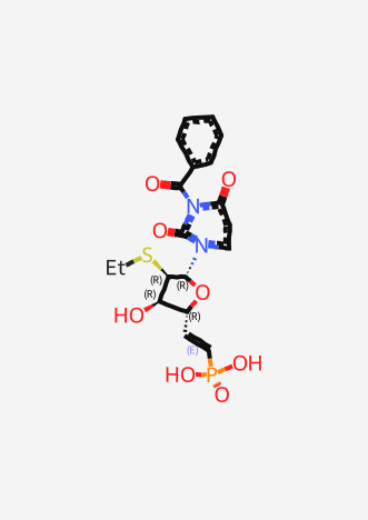 CCS[C@@H]1[C@H](O)[C@@H](/C=C/P(=O)(O)O)O[C@H]1n1ccc(=O)n(C(=O)c2ccccc2)c1=O